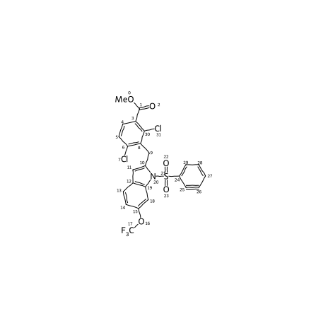 COC(=O)c1ccc(Cl)c(Cc2cc3ccc(OC(F)(F)F)cc3n2S(=O)(=O)c2c#cccc2)c1Cl